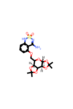 CC1(C)OC2[C@@H](O1)C(COc1cccc3c1C(N)=NS(=O)(=O)N3)O[C@@H]1OC(C)(C)O[C@@H]21